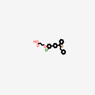 O=C(O)CCCOc1ccc(-c2ccc(-c3c(Cc4ccccc4)sc4ccccc34)cc2)cc1Br